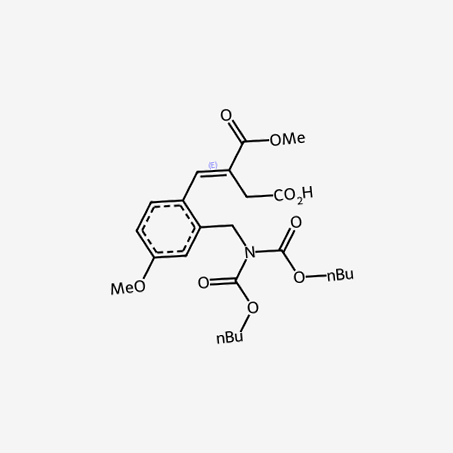 CCCCOC(=O)N(Cc1cc(OC)ccc1/C=C(\CC(=O)O)C(=O)OC)C(=O)OCCCC